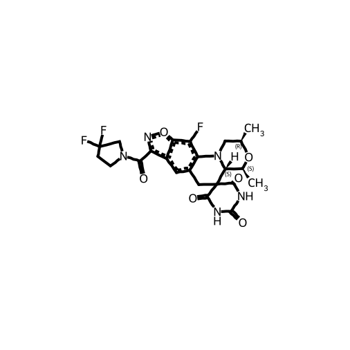 C[C@@H]1CN2c3c(cc4c(C(=O)N5CCC(F)(F)C5)noc4c3F)CC3(C(=O)NC(=O)NC3=O)[C@H]2[C@H](C)O1